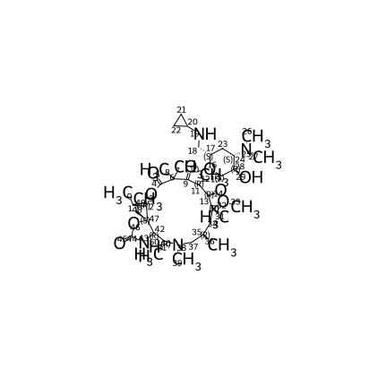 CC[C@H]1OC(=O)C(C)(C)C(=O)[C@H](C)[C@@H](O[C@@H]2O[C@H](CNC3CC3)C[C@H](N(C)C)[C@H]2O)[C@](C)(OC)C[C@@H](C)CN(C)[C@H](C)[C@H]2NC(=O)O[C@@]21CC